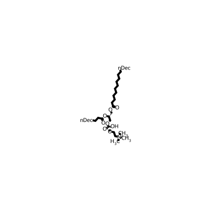 CCCCCCCCCCCCCCCCCCCCC(=O)OC[C@H](COP(=O)(O)OCC[N+](C)(C)C)OC(=O)CCCCCCCCCCCC